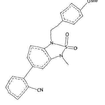 COc1ccc(CN2c3ccc(-c4ccccc4C#N)cc3N(C)S2(=O)=O)cc1